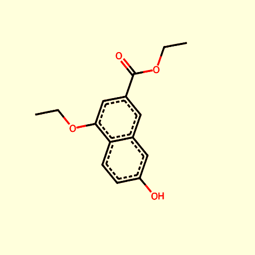 CCOC(=O)c1cc(OCC)c2ccc(O)cc2c1